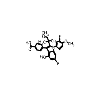 COCC(C)(C)c1c(-c2ccc(C(=O)O)cc2)c2c(O)cc(F)cc2n1-c1ccc(OC)c(F)c1